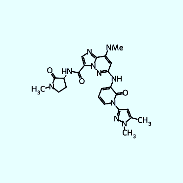 CNc1cc(Nc2cccn(-c3cc(C)n(C)n3)c2=O)nn2c(C(=O)N[C@@H]3CCN(C)C3=O)cnc12